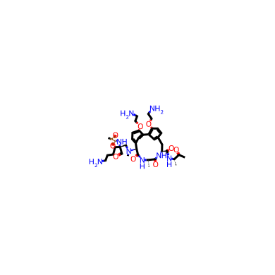 CC(=O)[C@H](C)NC(=O)[C@@H]1Cc2ccc(OCCN)c(c2)-c2cc(ccc2OCCN)[C@H](N(C)C[C@@](C=O)(CCCCN)NS(C)(=O)=O)C(=O)N[C@@H](C)C(=O)N1